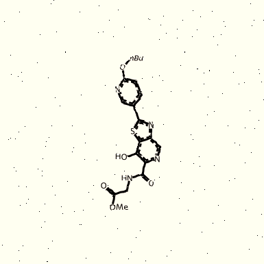 CCCCOc1ccc(-c2nc3cnc(C(=O)NCC(=O)OC)c(O)c3s2)cn1